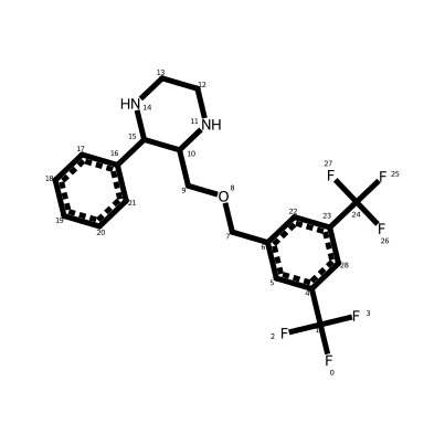 FC(F)(F)c1cc(COCC2NCCNC2c2ccccc2)cc(C(F)(F)F)c1